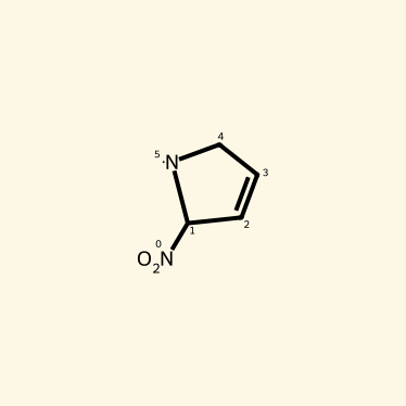 O=[N+]([O-])C1C=CC[N]1